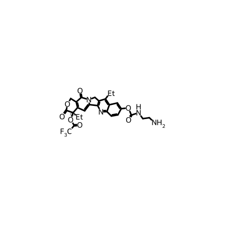 CCc1c2c(nc3ccc(OC(=O)NCCN)cc13)-c1cc3c(c(=O)n1C2)COC(=O)[C@@]3(CC)OC(=O)C(F)(F)F